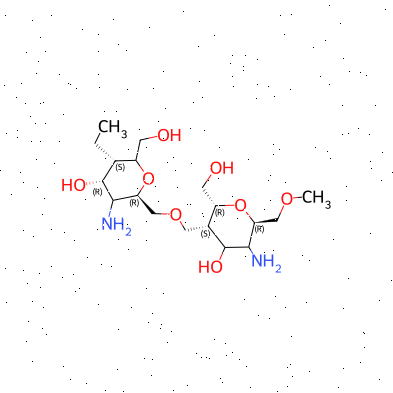 CC[C@@H]1C(CO)O[C@@H](COC[C@H]2C(O)C(N)[C@H](COC)O[C@H]2CO)C(N)[C@@H]1O